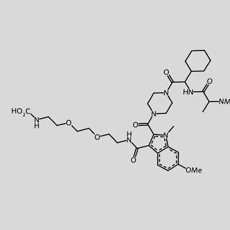 CNC(C)C(=O)NC(C(=O)N1CCN(C(=O)c2c(C(=O)NCCOCCOCCNC(=O)O)c3ccc(OC)cc3n2C)CC1)C1CCCCC1